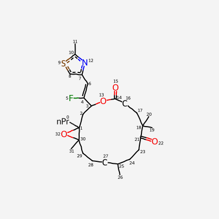 CCCC12CC(C(F)=Cc3csc(C)n3)OC(=O)CCC(C)(C)C(=O)CCC(C)CCCC1(C)O2